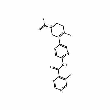 C=C(C)[C@H]1CCC(C)=C(c2ccc(NC(=O)c3ccncc3C)nc2)C1